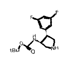 CC(C)(C)OC(=O)N[C@@H]1CNC[C@H]1c1cc(F)cc(F)c1